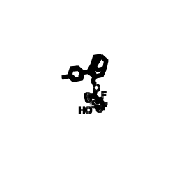 Cc1ccc(C2C3CC4CC(C3)CC2(COC(=O)C(F)(F)S(=O)(=O)O)C4)cc1